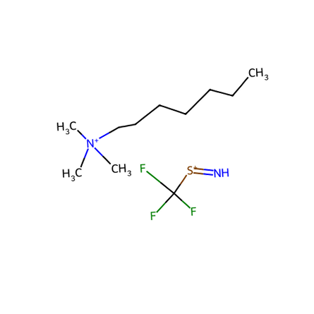 CCCCCCC[N+](C)(C)C.N=[S+]C(F)(F)F